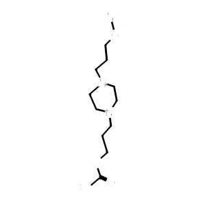 CC(=O)C(=O)OCCCN1CCN(CCCO[N+](=O)[O-])CC1